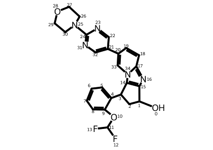 OC1CC(c2ccccc2OC(F)F)c2c1nc1ccc(-c3cnc(N4CCOCC4)nc3)cn21